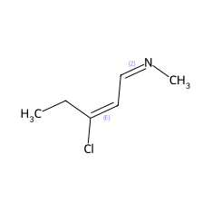 CC/C(Cl)=C\C=N/C